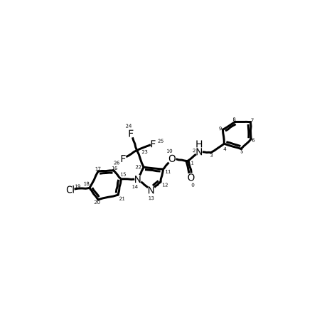 O=C(NCc1ccccc1)Oc1cnn(-c2ccc(Cl)cc2)c1C(F)(F)F